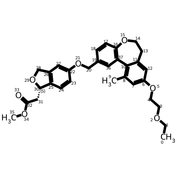 CCOCCOc1cc(C)c2c(c1)CCOc1ccc(COc3ccc4c(c3)CO[C@H]4CC(=O)OC)cc1-2